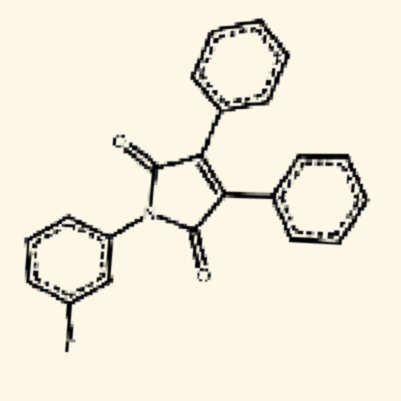 O=C1C(c2ccccc2)=C(c2ccccc2)C(=O)N1c1cccc(F)c1